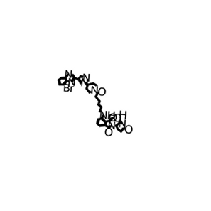 O=C1CCC(N2C(=O)c3cccc(NCCCCCC(=O)N4CCC(n5cc(-c6cnc7cccc(Br)c7n6)cn5)CC4)c3C2=O)C(=O)N1